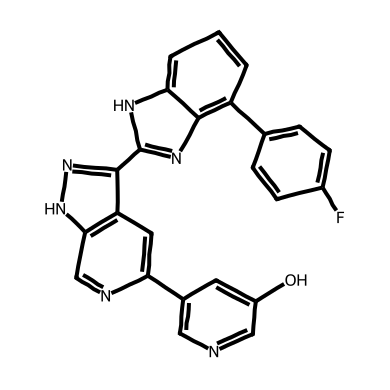 Oc1cncc(-c2cc3c(-c4nc5c(-c6ccc(F)cc6)cccc5[nH]4)n[nH]c3cn2)c1